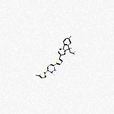 CCCCCCC1(CC(CC)CCCC)c2cc(C)ccc2-c2ccc(-c3ccc(-c4ccc(-c5ccc(C)s5)c5nsnc45)s3)cc21